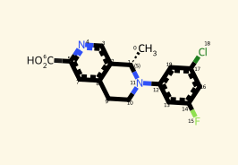 C[C@H]1c2cnc(C(=O)O)cc2CCN1c1cc(F)cc(Cl)c1